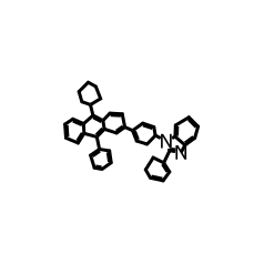 C1=CCCC(c2nc3ccccc3n2C2C=CC(c3ccc4c(C5CCCCC5)c5ccccc5c(-c5ccccc5)c4c3)=CC2)=C1